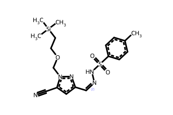 Cc1ccc(S(=O)(=O)N/N=C\c2cc(C#N)n(COCC[Si](C)(C)C)n2)cc1